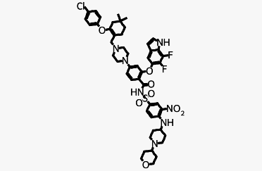 CC1(C)CCC(CN2CCN(c3ccc(C(=O)NS(=O)(=O)c4ccc(NC5CCN(C6CCOCC6)CC5)c([N+](=O)[O-])c4)c(Oc4cc5cc[nH]c5c(F)c4F)c3)CC2)=C(Oc2ccc(Cl)cc2)C1